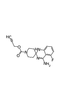 C#CCOC(=O)N1CCC2(CC1)N=C(N)c1c(F)cccc1N2